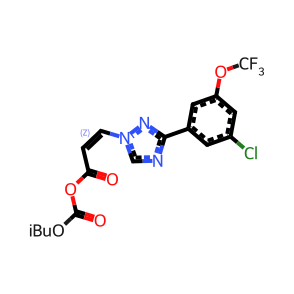 CC(C)COC(=O)OC(=O)/C=C\n1cnc(-c2cc(Cl)cc(OC(F)(F)F)c2)n1